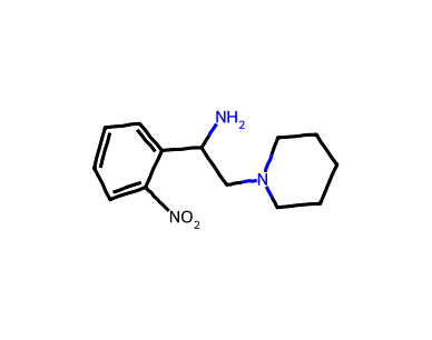 NC(CN1CCCCC1)c1ccccc1[N+](=O)[O-]